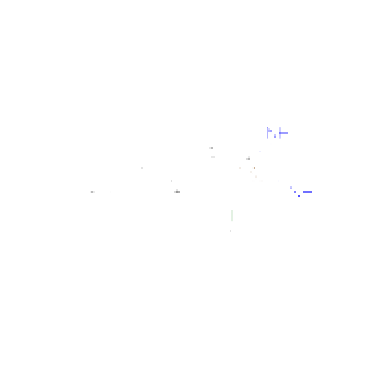 C=C/C=C\CCS(=N)(=N)F